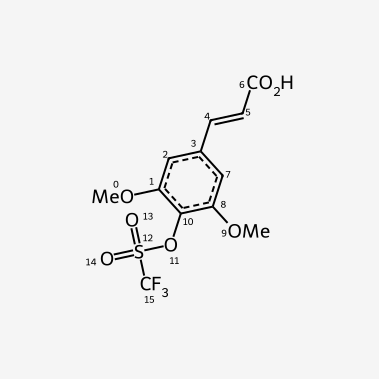 COc1cc(C=CC(=O)O)cc(OC)c1OS(=O)(=O)C(F)(F)F